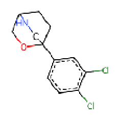 Clc1ccc(C23CCC(CO2)NC3)cc1Cl